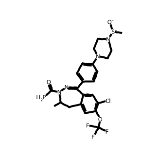 CC1Cc2cc(OC(F)(F)F)c(Cl)cc2C(c2ccc(N3CCN([S+](C)[O-])CC3)cc2)=NN1C(=O)P